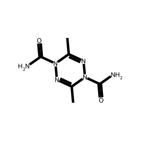 CC1=NN(C(N)=O)C(C)=NN1C(N)=O